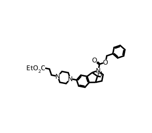 CCOC(=O)CCN1CCN(c2ccc3c(c2)C2[C@@H](C)C3CCN2C(=O)OCc2ccccc2)CC1